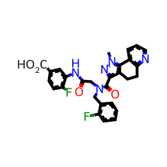 Cn1nc(C(=O)N(CC(=O)Nc2cc(C(=O)O)ccc2F)Cc2ccccc2F)c2c1-c1cccnc1CC2